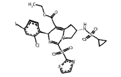 CCOC(=O)C1=C2C[C@H](NS(=O)(=O)C3CC3)CN2C(S(=O)(=O)c2nccs2)=N[C@H]1c1ccc(I)cc1Cl